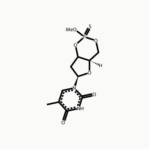 COP1(=S)OC[C@H]2O[C@@H](n3cc(C)c(=O)[nH]c3=O)CC2O1